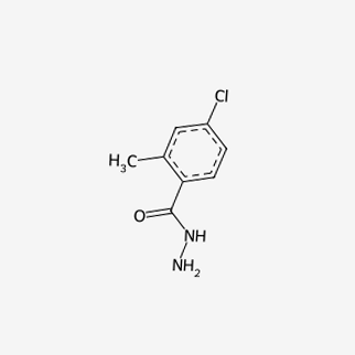 Cc1cc(Cl)ccc1C(=O)NN